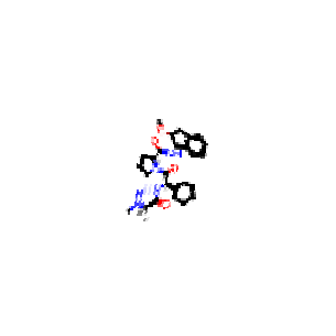 CN[C@@H](C)C(=O)N[C@H](C(=O)N1CCC[C@H]1C(=O)N[C@H]1c2ccccc2C[C@H]1OC)C1CCCCC1